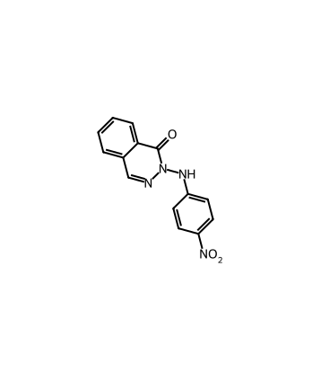 O=c1c2ccccc2cnn1Nc1ccc([N+](=O)[O-])cc1